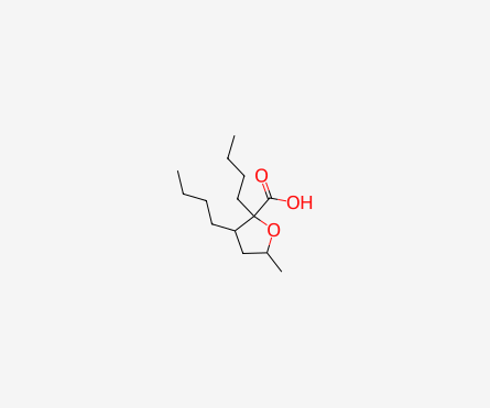 CCCCC1CC(C)OC1(CCCC)C(=O)O